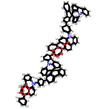 c1ccc(-c2ccc(-c3ccccc3N(c3ccc(-c4ccc5c(c4)C4(c6ccccc6-5)c5ccccc5-n5c6ccccc6c6cccc4c65)cc3)c3ccc(-c4cccc5c(-c6cccc7c6c6cccc8c6n7-c6ccccc6C86c7ccccc7-c7ccc(-c8ccc(N(c9ccccc9-c9ccc(-c%10ccccc%10)cc9)c9cccc%10ccccc9%10)cc8)cc76)cccc45)cc3)cc2)cc1